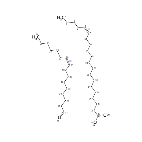 CCCC/C=C\CCCCCCCCCCCCCC(=O)O.CCCCCC/C=C\CCCCCCCC=O